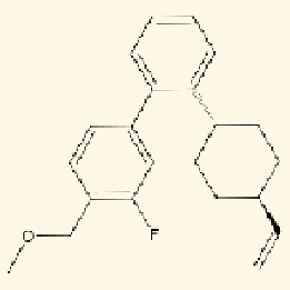 C=C[C@H]1CC[C@H](c2ccccc2-c2ccc(COC)c(F)c2)CC1